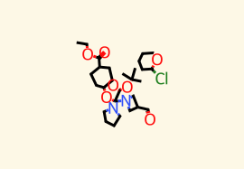 CCOC(=O)C1CCC(OC(C(=O)OC(C)(C)C)(N2CCCC2)N2CC(C=O)C2)CC1.ClC1CCCCO1